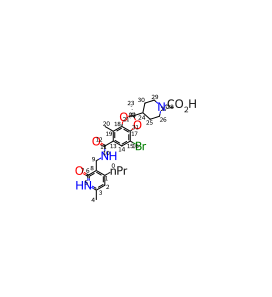 CCCc1cc(C)[nH]c(=O)c1CNC(=O)c1cc(Br)c2c(c1C)O[C@@](C)(C1CCN(C(=O)O)CC1)O2